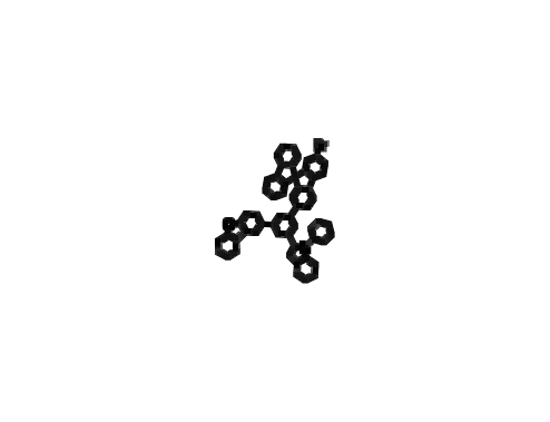 Brc1ccc2c(c1)C1(c3ccccc3-c3ccccc31)c1cc(-c3cc(-c4ccc5oc6ccccc6c5c4)cc(-c4cc5ccccc5n4-c4ccccc4)c3)ccc1-2